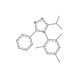 Cc1cc(I)cc(C)c1-n1c(-c2ccccc2)nnc1C(C)C